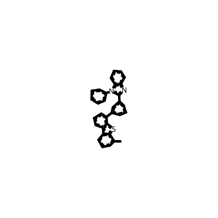 Cc1cccc2c1sc1c(-c3cccc(-c4nc5ccccc5n4-c4ccccc4)c3)cccc12